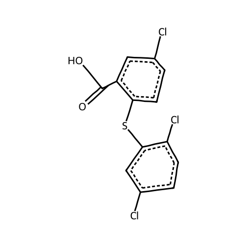 O=C(O)c1cc(Cl)ccc1Sc1cc(Cl)ccc1Cl